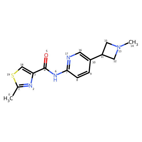 Cc1nc(C(=O)Nc2ccc(C3CN(C)C3)cn2)cs1